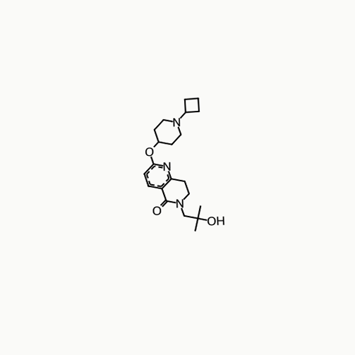 CC(C)(O)CN1CCc2nc(OC3CCN(C4CCC4)CC3)ccc2C1=O